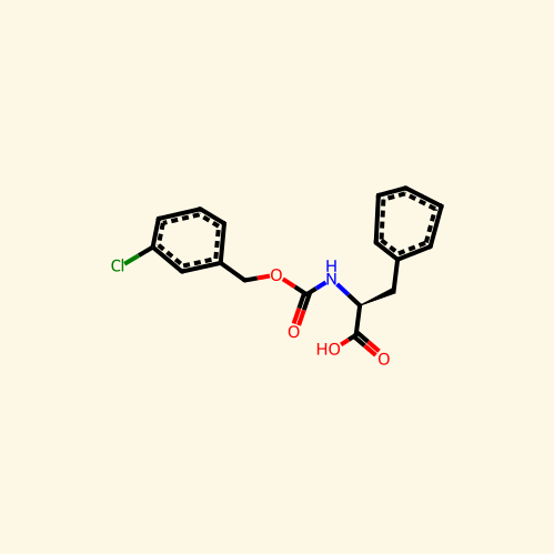 O=C(N[C@@H](Cc1ccccc1)C(=O)O)OCc1cccc(Cl)c1